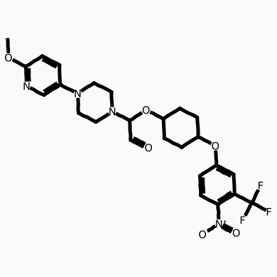 COc1ccc(N2CCN(C(C=O)OC3CCC(Oc4ccc([N+](=O)[O-])c(C(F)(F)F)c4)CC3)CC2)cn1